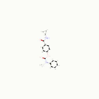 CN(C(=O)Oc1ccc(C(=O)NC2CC2)cc1)c1ccccc1